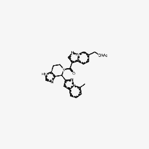 COCc1ccc2c(C(=O)N3CCc4[nH]cnc4C3c3cc4cccc(C)n4n3)cnn2c1